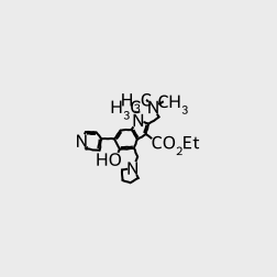 CCOC(=O)c1c(CN(C)C)n(C)c2cc(-c3ccncc3)c(O)c(CN3CCCC3)c12